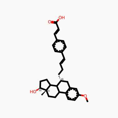 COc1ccc2c(c1)C[C@@H](CCC=Cc1ccc(C=CC(=O)O)cc1)C1C2CC[C@@]2(C)C1CC[C@@H]2O